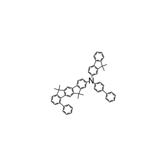 CC1(C)c2ccccc2-c2ccc(N(c3ccc(-c4ccccc4)cc3)c3ccc4c(c3)C(C)(C)c3cc5c(cc3-4)C(C)(C)c3cccc(-c4ccccc4)c3-5)cc21